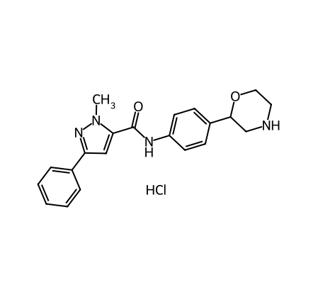 Cl.Cn1nc(-c2ccccc2)cc1C(=O)Nc1ccc(C2CNCCO2)cc1